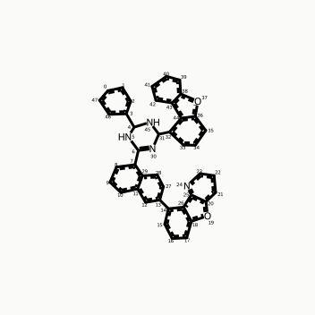 c1ccc(C2NC(c3cccc4cc(-c5cccc6oc7cccnc7c56)ccc34)=NC(c3cccc4oc5ccccc5c34)N2)cc1